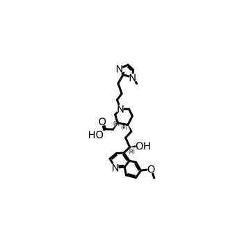 COc1ccc2nccc([C@H](O)CC[C@@H]3CCN(CCCc4nccn4C)C[C@@H]3CC(=O)O)c2c1